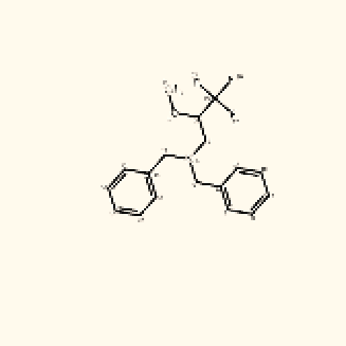 COC(CN(Cc1ccccc1)Cc1ccccc1)C(F)(F)F